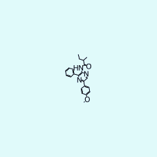 CCC(C)C(=O)Nc1ncc(-c2ccc(OC)cc2)nc1-c1ccccc1